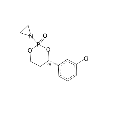 O=P1(N2CC2)OCC[C@@H](c2cccc(Cl)c2)O1